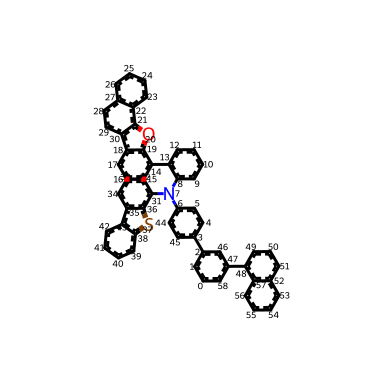 c1cc(-c2ccc(N(c3ccccc3-c3cccc4c3oc3c5ccccc5ccc43)c3cccc4c3sc3ccccc34)cc2)cc(-c2cccc3ccccc23)c1